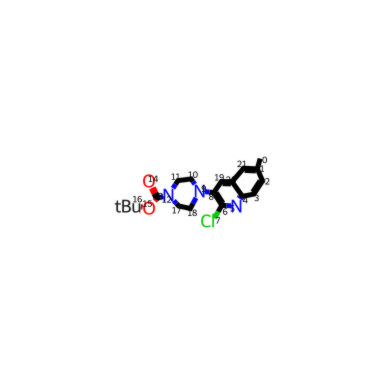 Cc1ccc2nc(Cl)c(N3CCN(C(=O)OC(C)(C)C)CC3)cc2c1